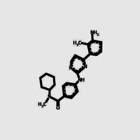 Cc1c(N)cccc1-c1ccnc(Nc2ccc(C(=O)N(C)C3CCCCC3)cc2)n1